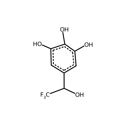 Oc1cc(C(O)C(F)(F)F)cc(O)c1O